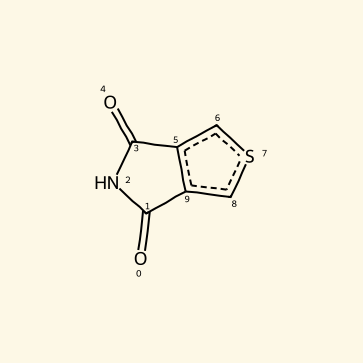 O=C1NC(=O)c2cscc21